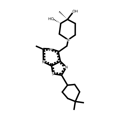 Cc1nc(CN2CC[C@](C)(O)[C@@H](O)C2)c2nc(C3CCC(C)(C)CC3)sc2n1